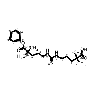 CC(C)(CCCNC(=S)NCCCC(C)(C)C(=O)Oc1ccccc1)C(=O)O